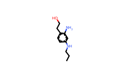 CCCNc1ccc(CCO)c(N)c1